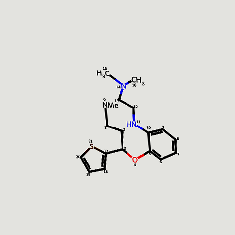 CNCC[C@@H](Oc1ccccc1NCCN(C)C)c1cccs1